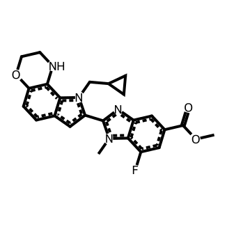 COC(=O)c1cc(F)c2c(c1)nc(-c1cc3ccc4c(c3n1CC1CC1)NCCO4)n2C